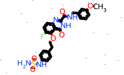 COc1cccc(CNC(=O)c2nc3ccc(F)c(OCCc4ccc(NS(N)(=O)=O)cc4)c3c(=O)[nH]2)c1